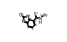 CC(C)NC(=S)c1cccc2c1=NC(=O)N=2